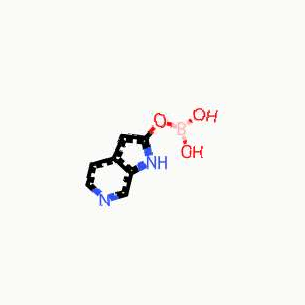 OB(O)Oc1cc2ccncc2[nH]1